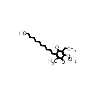 CCC1=C(OC)C(=O)C(C)=C(CCCCCCCCCCO)C1=O